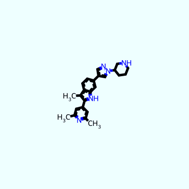 Cc1cc(-c2[nH]c3cc(-c4cnn(C5CCCNC5)c4)ccc3c2C)cc(C)n1